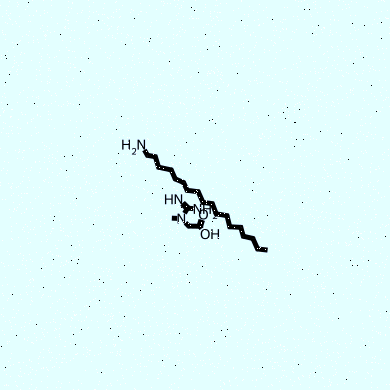 CCCCCCCCCCCCCCCCCCN.CN(CC(=O)O)C(=N)N